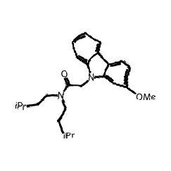 COc1ccc2c3ccccc3n(CC(=O)N(CCC(C)C)CCC(C)C)c2c1